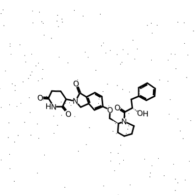 O=C1CCC(N2Cc3cc(OC[C@@H]4CCCCN4C(=O)[C@@H](O)Cc4ccccc4)ccc3C2=O)C(=O)N1